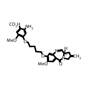 C=C1C[C@H]2C=Nc3cc(OCCCCCOc4cc(N)c(C(=O)O)cc4OC)c(OC)cc3C(=O)N2C1